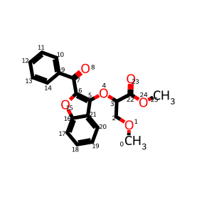 COCC(Oc1c(C(=O)c2ccccc2)oc2ccccc12)C(=O)OC